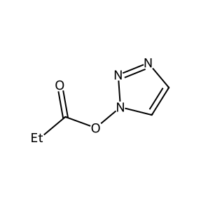 CCC(=O)On1ccnn1